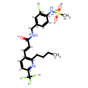 CCCCc1nc(C(F)(F)F)ccc1C=CC(=O)NCc1ccc(NS(C)(=O)=O)c(F)c1